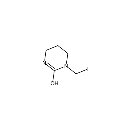 OC1=NCCCN1CI